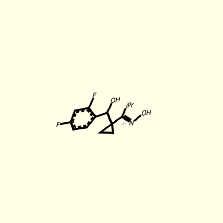 CC(C)/C(=N\O)C1(C(O)c2ccc(F)cc2F)CC1